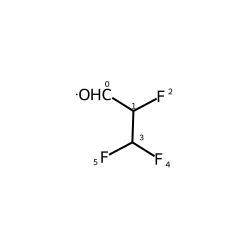 O=[C]C(F)C(F)F